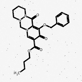 CCCCOC(=O)c1cn2c(c(OCc3ccccc3)c1=O)C(=O)N1CCCCN1C2